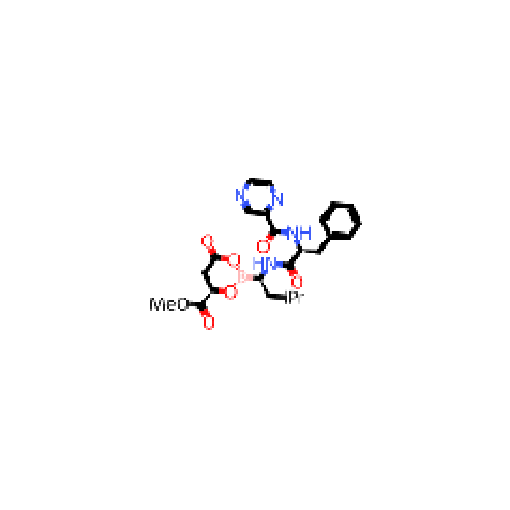 COC(=O)[C@H]1CC(=O)OB([C@H](CC(C)C)NC(=O)[C@H](Cc2ccccc2)NC(=O)c2cnccn2)O1